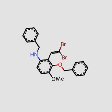 COc1ccc(NCc2ccccc2)c(C=C(Br)Br)c1OCc1ccccc1